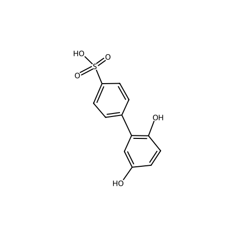 O=S(=O)(O)c1ccc(-c2cc(O)ccc2O)cc1